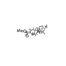 COC(=O)c1ccc(OC(C)(C)C(=O)O)cc1